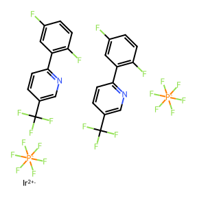 F[P-](F)(F)(F)(F)F.F[P-](F)(F)(F)(F)F.Fc1ccc(F)c(-c2ccc(C(F)(F)F)cn2)c1.Fc1ccc(F)c(-c2ccc(C(F)(F)F)cn2)c1.[Ir+2]